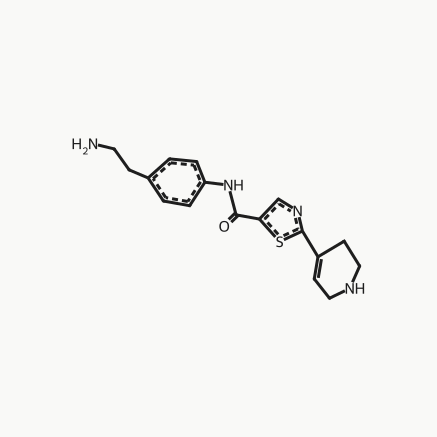 NCCc1ccc(NC(=O)c2cnc(C3=CCNCC3)s2)cc1